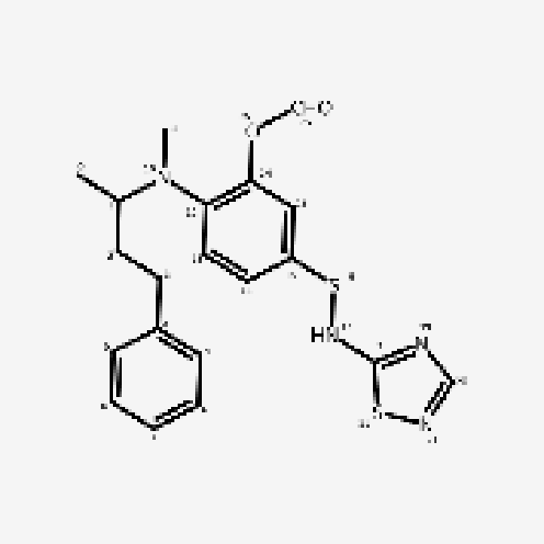 CC(CCc1ccccc1)N(C)c1ccc(SNc2ncns2)cc1OC=O